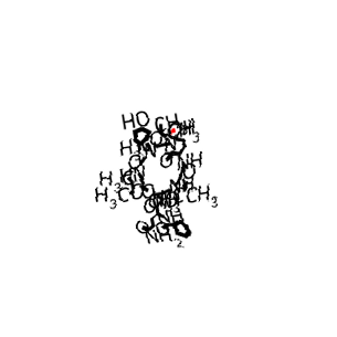 CCC(C)[C@@H]1NC(=O)[C@H](Cc2ccc(O)cc2)N(C)C(=O)[C@H](C(C)CC)N2C(=O)C(CC[C@@H]2O)NC(=O)[C@H](CC(C)C)NC(=O)[C@@H](NC(=O)[C@H](CCC(N)=O)NC(=O)c2ccccc2)[C@@H](C)OC1=O